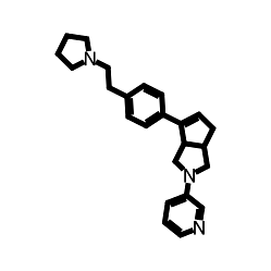 C1=C(c2ccc(CCN3CCCC3)cc2)C2CN(c3cccnc3)CC2C1